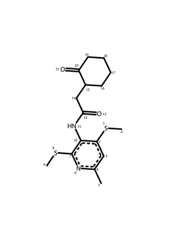 CSc1cc(C)nc(SC)c1NC(=O)CC1CCCCC1=O